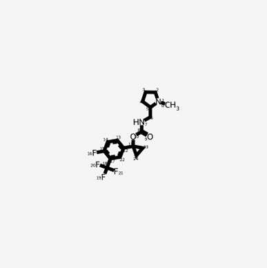 CN1CCCC1CNC(=O)OC1(c2ccc(F)c(C(F)(F)F)c2)CC1